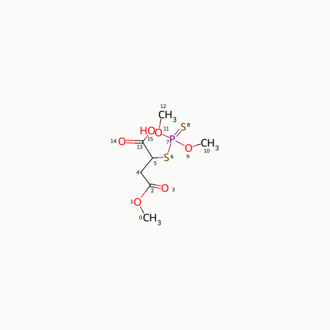 COC(=O)CC(SP(=S)(OC)OC)C(=O)O